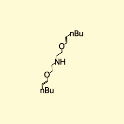 CCCCC=COCCNCCOC=CCCCC